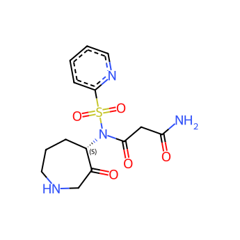 NC(=O)CC(=O)N([C@H]1CCCNCC1=O)S(=O)(=O)c1ccccn1